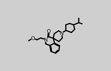 COCCN1Cc2ccccc2C2(CCN(C3CCC(C(C)C)CC3)CC2)C1=O